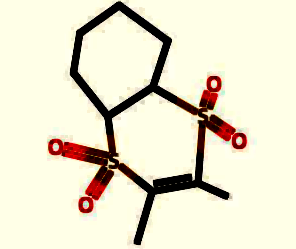 CC1=C(C)S(=O)(=O)C2CCCCC2S1(=O)=O